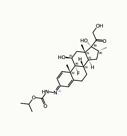 CC(C)OC(=O)N/N=C1\C=C[C@@]2(C)C(=C1)CC[C@H]1[C@@H]3C[C@@H](C)[C@](O)(C(=O)CO)[C@@]3(C)C[C@H](O)[C@@]12F